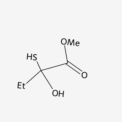 CCC(O)(S)C(=O)OC